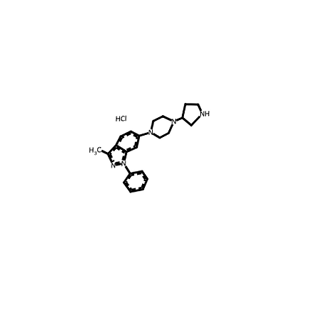 Cc1nn(-c2ccccc2)c2cc(N3CCN(C4CCNC4)CC3)ccc12.Cl